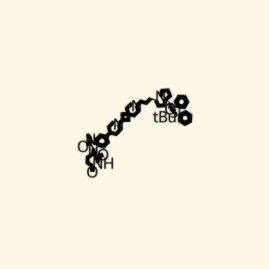 Cn1c(=O)n(C2CCC(=O)NC2=O)c2ccc(C3CCN(C4CC5(CCN(CCC[C@@H]6CC[C@]7(CO[Si](c8ccccc8)(c8ccccc8)C(C)(C)C)CCCN67)CC5)C4)CC3)cc21